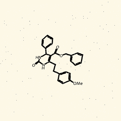 COc1ccc(CCC2=C(C(=O)OCc3ccccc3)C(c3ccccc3)NC(=O)N2)cc1